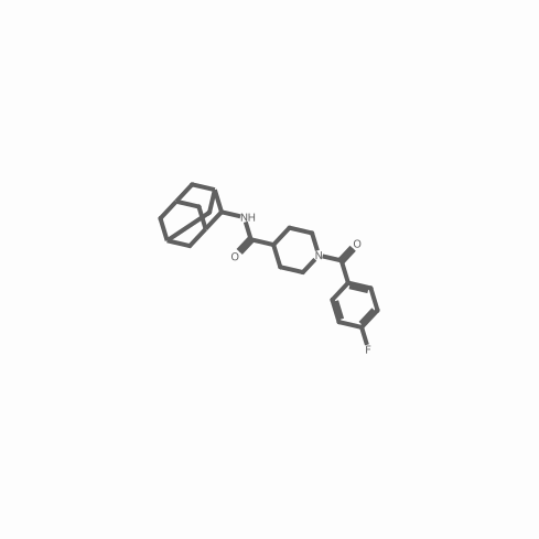 O=C(NC1C2CC3CC(C2)CC1C3)C1CCN(C(=O)c2ccc(F)cc2)CC1